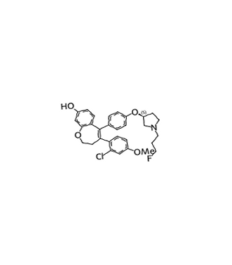 COc1ccc(C2=C(c3ccc(O[C@H]4CCN(CCCF)C4)cc3)c3ccc(O)cc3OCC2)c(Cl)c1